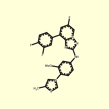 COc1cc(Nc2nc3c(-c4ccc(F)c(F)c4)cc(F)cn3n2)ccc1-n1cnc(C)c1